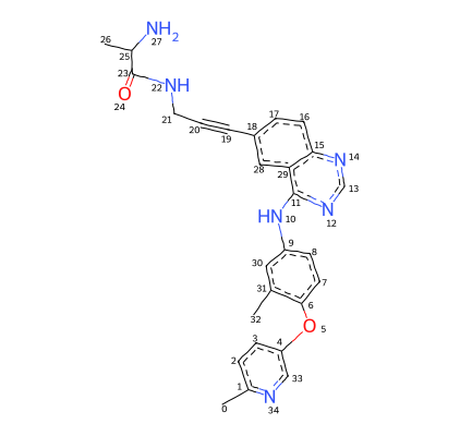 Cc1ccc(Oc2ccc(Nc3ncnc4ccc(C#CCNC(=O)C(C)N)cc34)cc2C)cn1